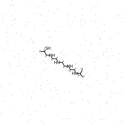 CC(S)CNCCNCCNCCNC(C)C